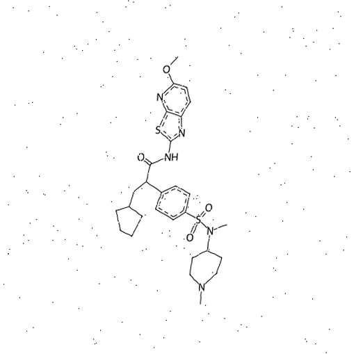 COc1ccc2nc(NC(=O)C(CC3CCCC3)c3ccc(S(=O)(=O)N(C)C4CCN(C)CC4)cc3)sc2n1